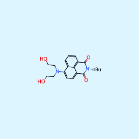 CCCCN1C(=O)c2cccc3c(N(CCO)CCO)ccc(c23)C1=O